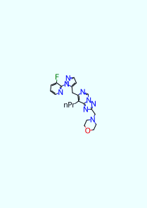 CCCc1c(Cc2ccnn2-c2ncccc2F)ncn2nc(CN3CCOCC3)nc12